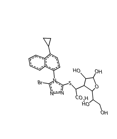 O=C(O)C(Sc1nnc(Br)n1-c1ccc(C2CC2)c2ccccc12)C1C(O)C(O)OC1C(O)CO